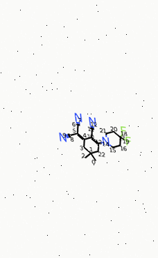 CC1(C)CC(=C(C#N)C#N)C(C#N)=C(N2CCC(F)(F)CC2)C1